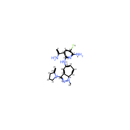 C=C(N)c1cc(F)c(N)nc1NC1=CC=CC2C(=C1)C(N1CCCC1=C)=NN2C